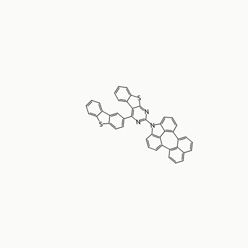 c1cc2c3c(cccc3c1)-c1cccc3c1c1c-2cccc1n3-c1nc(-c2ccc3sc4ccccc4c3c2)c2c(n1)sc1ccccc12